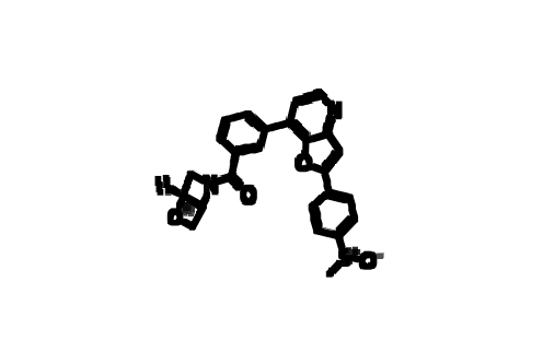 C[S+]([O-])c1ccc(-c2cc3nccc(-c4cccc(C(=O)N5C[C@H]6OCC65)c4)c3o2)cc1